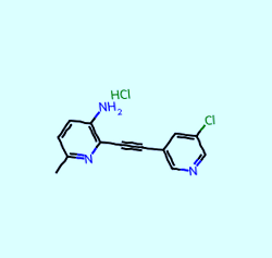 Cc1ccc(N)c(C#Cc2cncc(Cl)c2)n1.Cl